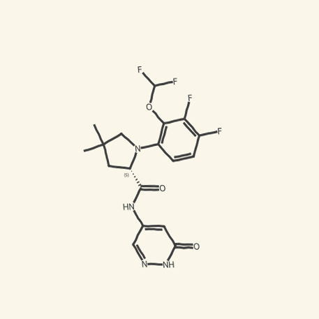 CC1(C)C[C@@H](C(=O)Nc2cn[nH]c(=O)c2)N(c2ccc(F)c(F)c2OC(F)F)C1